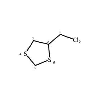 ClCC1CSCS1